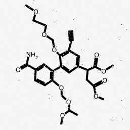 C#Cc1cc(C(CC(=O)OC)C(=O)OC)cc(-c2cc(C(N)=O)ccc2OCOC(C)OC)c1OCOCCOC